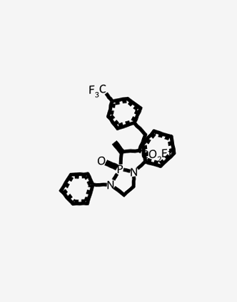 C=C(C(Cc1ccc(C(F)(F)F)cc1)C(=O)OCC)P1(=O)N(c2ccccc2)CCN1c1ccccc1